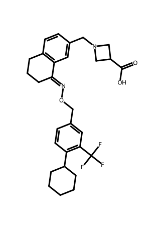 O=C(O)C1CN(Cc2ccc3c(c2)C(=NOCc2ccc(C4CCCCC4)c(C(F)(F)F)c2)CCC3)C1